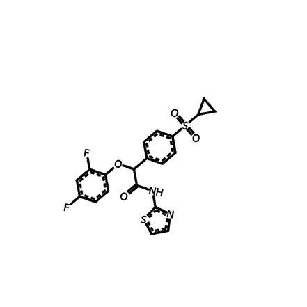 O=C(Nc1nccs1)C(Oc1ccc(F)cc1F)c1ccc(S(=O)(=O)C2CC2)cc1